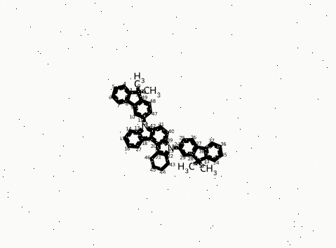 CC1(C)c2ccccc2-c2cc(-n3c4ccccc4c4c5c6c(n(-c7ccc8c(c7)C(C)(C)c7ccccc7-8)c5ccc43)CCCC6)ccc21